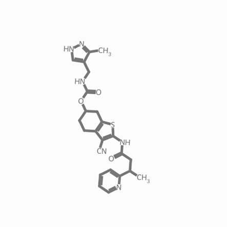 Cc1n[nH]cc1CNC(=O)OC1CCc2c(sc(NC(=O)CC(C)c3ccccn3)c2C#N)C1